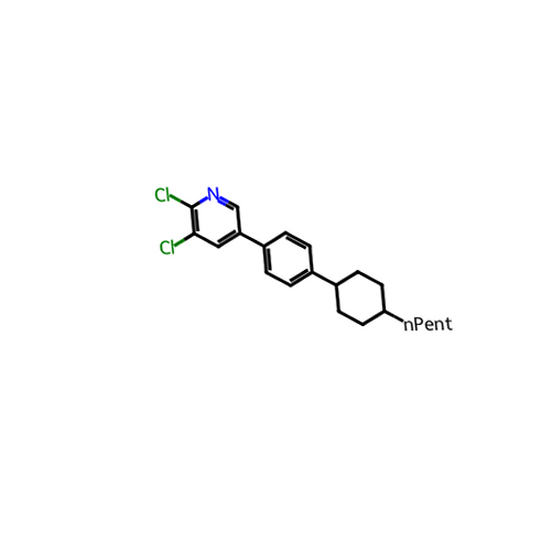 CCCCCC1CCC(c2ccc(-c3cnc(Cl)c(Cl)c3)cc2)CC1